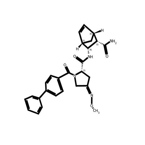 CON=C1C[C@@H](C(=O)N[C@H]2[C@@H](C(N)=O)[C@H]3C=C[C@@H]2C3)N(C(=O)c2ccc(-c3ccccc3)cc2)C1